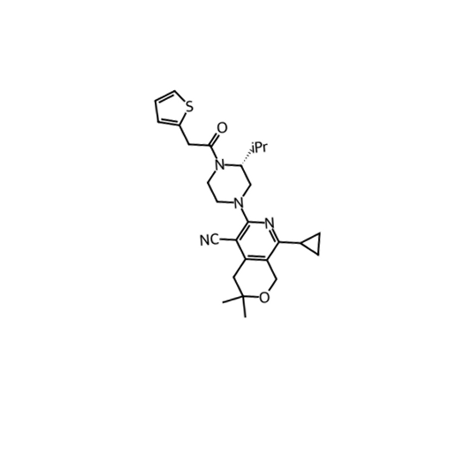 CC(C)[C@@H]1CN(c2nc(C3CC3)c3c(c2C#N)CC(C)(C)OC3)CCN1C(=O)Cc1cccs1